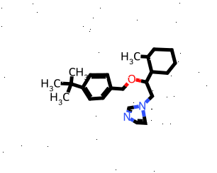 CC1CCCCC1C(Cn1ccnc1)OCc1ccc(C(C)(C)C)cc1